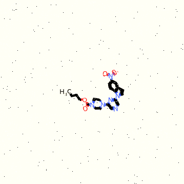 CCCCOC(=O)N1CCN(c2cncc(-n3ccc4cc([N+](=O)[O-])ccc43)n2)CC1